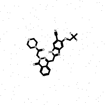 CC(F)(F)COc1cc2nc(Cc3nn(CC(=O)N4CCOCC4)c(=O)c4ccccc34)[nH]c2cc1C#N